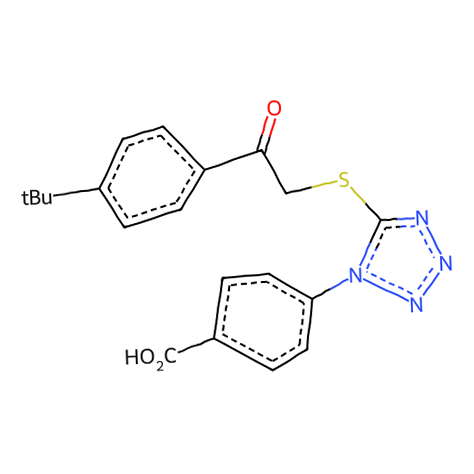 CC(C)(C)c1ccc(C(=O)CSc2nnnn2-c2ccc(C(=O)O)cc2)cc1